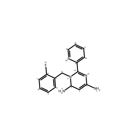 NC1=CC(N)N(Cc2ccccc2F)C(c2ccccn2)=N1